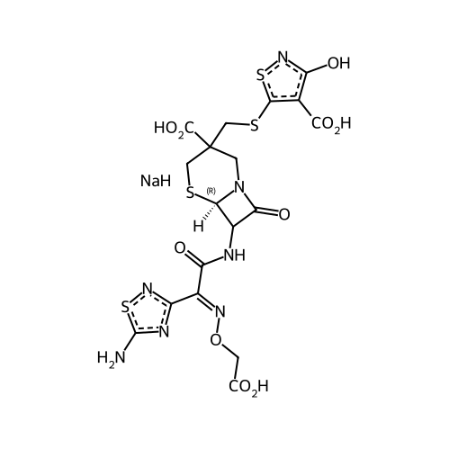 Nc1nc(C(=NOCC(=O)O)C(=O)NC2C(=O)N3CC(CSc4snc(O)c4C(=O)O)(C(=O)O)CS[C@H]23)ns1.[NaH]